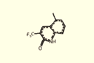 Cc1cccc2[nH]c(=O)c(C(F)(F)F)cc12